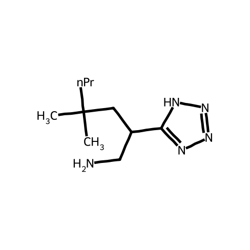 CCCC(C)(C)CC(CN)c1nnn[nH]1